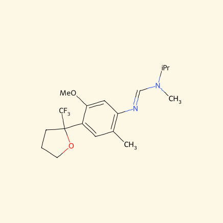 COc1cc(/N=C/N(C)C(C)C)c(C)cc1C1(C(F)(F)F)CCCO1